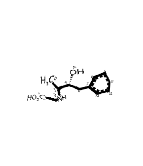 CC(NC(=O)O)[C@H](O)Cc1ccccc1